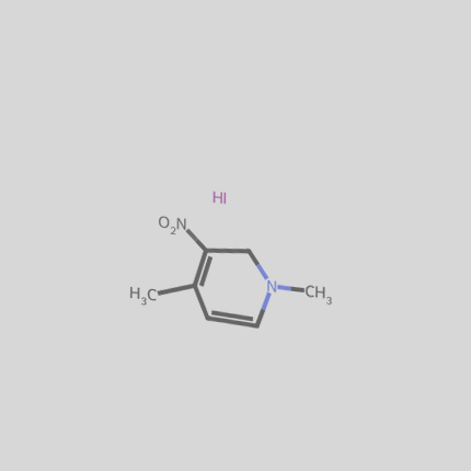 CC1=C([N+](=O)[O-])CN(C)C=C1.I